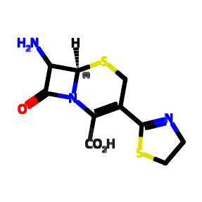 NC1C(=O)N2C(C(=O)O)=C(C3=NCCS3)CS[C@H]12